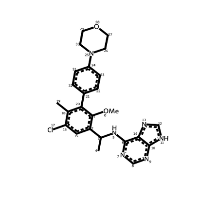 COc1c(C(C)Nc2ncnc3[nH]cnc23)cc(Cl)c(C)c1-c1ccc(N2CCOCC2)cc1